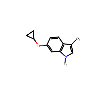 CCn1cc(C#N)c2ccc(OC3CC3)cc21